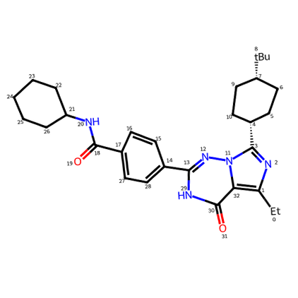 CCc1nc([C@H]2CC[C@@H](C(C)(C)C)CC2)n2nc(-c3ccc(C(=O)NC4CCCCC4)cc3)[nH]c(=O)c12